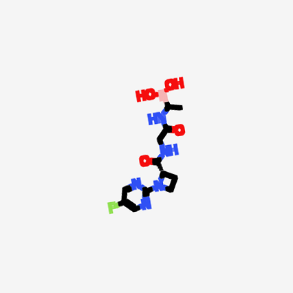 CC(NC(=O)CNC(=O)[C@@H]1CCN1c1ncc(F)cn1)B(O)O